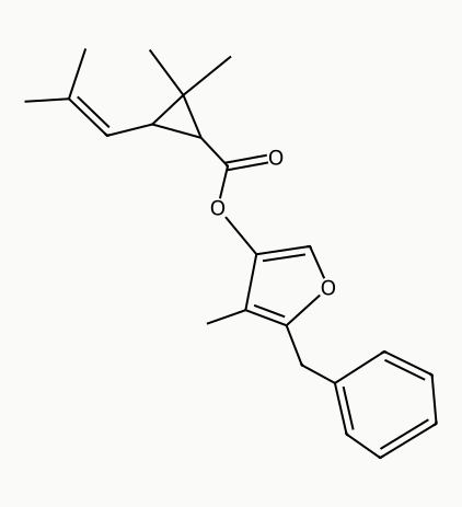 CC(C)=CC1C(C(=O)Oc2coc(Cc3ccccc3)c2C)C1(C)C